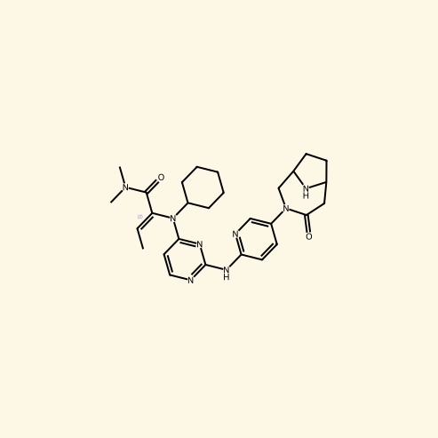 C/C=C(/C(=O)N(C)C)N(c1ccnc(Nc2ccc(N3CC4CCC(CC3=O)N4)cn2)n1)C1CCCCC1